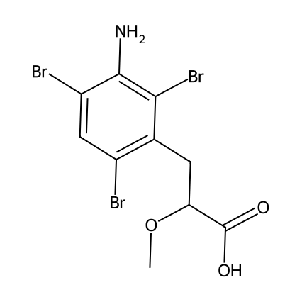 COC(Cc1c(Br)cc(Br)c(N)c1Br)C(=O)O